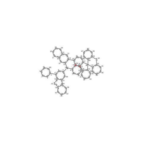 c1ccc(-c2cc(N(c3ccccc3)c3cc4ccccc4cc3-c3ccc4c(c3)-c3ccccc3C43c4ccccc4Sc4ccccc43)cc3c2sc2ccccc23)cc1